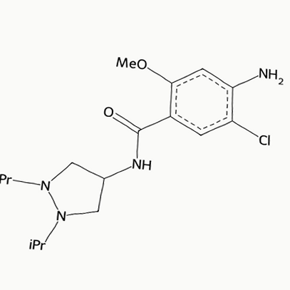 COc1cc(N)c(Cl)cc1C(=O)NC1CN(C(C)C)N(C(C)C)C1